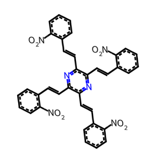 O=[N+]([O-])c1ccccc1C=Cc1nc(C=Cc2ccccc2[N+](=O)[O-])c(C=Cc2ccccc2[N+](=O)[O-])nc1C=Cc1ccccc1[N+](=O)[O-]